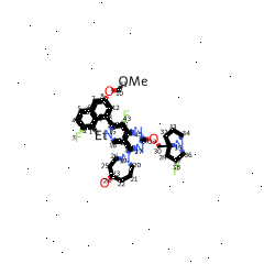 CCc1c(F)ccc2cc(OCOC)cc(-c3ncc4c(N5CCCC(=O)CC5)nc(OC[C@@]56CCCN5C[C@H](F)C6)nc4c3F)c12